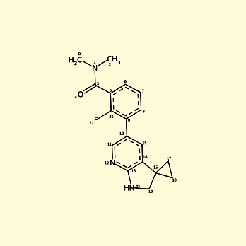 CN(C)C(=O)c1cccc(-c2cnc3c(c2)C2(CC2)CN3)c1F